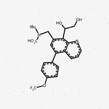 CC(C)(C)N(Cc1cc(-c2ccc(OC(F)(F)F)cc2)c2cccnc2c1C(O)CO)C(=O)O